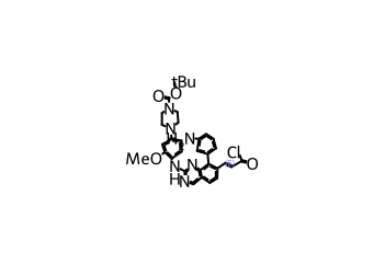 COc1cc(N2CCN(C(=O)OC(C)(C)C)CC2)ccc1Nc1ncc2ccc(/C=C/C(=O)Cl)c(-c3cccc(N)c3)c2n1